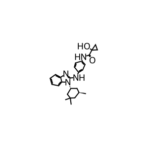 C[C@@H]1C[C@@H](n2c(Nc3ccc(NC(=O)C4(O)CC4)cc3)nc3ccccc32)CC(C)(C)C1